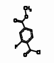 COC(=O)c1ccc(C(=O)Cl)c(F)c1